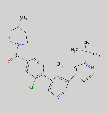 Cc1c(-c2ccnc(C(C)(C)C)c2)cncc1-c1ccc(C(=O)N2CCC(C)CC2)cc1Cl